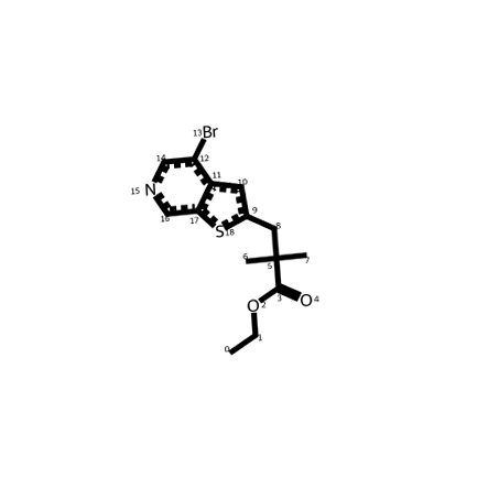 CCOC(=O)C(C)(C)Cc1cc2c(Br)cncc2s1